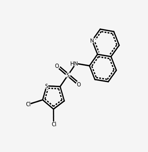 O=S(=O)(Nc1cccc2cccnc12)c1cc(Cl)c(Cl)s1